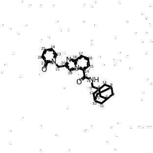 O=C(NCC12CC3CC(CC(C3)C1)C2)c1cccc2nc(Cn3ccccc3=O)cn12